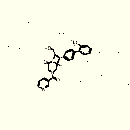 Cc1ccccc1-c1ccc([C@H]2[C@H](CO)N3C(=O)CN(C(=O)c4cccnc4)C[C@@H]23)cc1